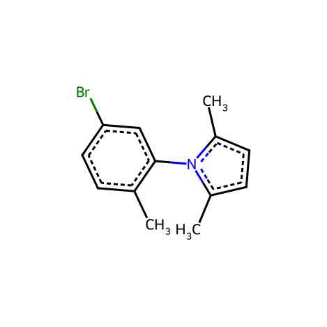 Cc1ccc(Br)cc1-n1c(C)ccc1C